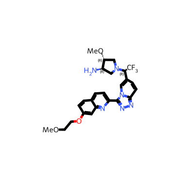 COCCOc1ccc2ccc(-c3nnc4ccc([C@@H](N5C[C@@H](N)[C@H](OC)C5)C(F)(F)F)cn34)nc2c1